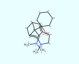 CN(C)CC1(C2(O)CCCCC2)C2=C3C(=CC1C2)CCN3C